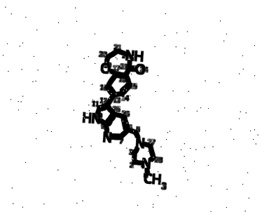 CN1CCN(Cc2cnc3[nH]cc(-c4ccc5c(c4)OCCNC5=O)c3c2)CC1